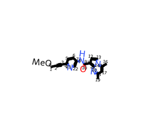 COCC#Cc1ccc(NC(=O)c2ccn3c(C)cc(C)nc23)cn1